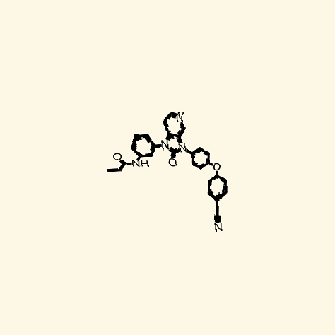 C=CC(=O)Nc1cccc(-n2c(=O)n(-c3ccc(Oc4ccc(C#N)cc4)cc3)c3cnccc32)c1